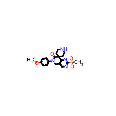 COc1ccc(N2Cc3cnc(S(C)(=O)=O)nc3C3(CCNCC3)C2=O)cc1